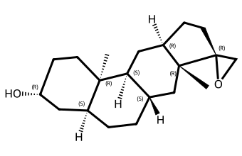 C[C@@]12CC[C@@H](O)C[C@@H]1CC[C@H]1C[C@]3(C)[C@H](CC[C@]34CO4)C[C@@H]12